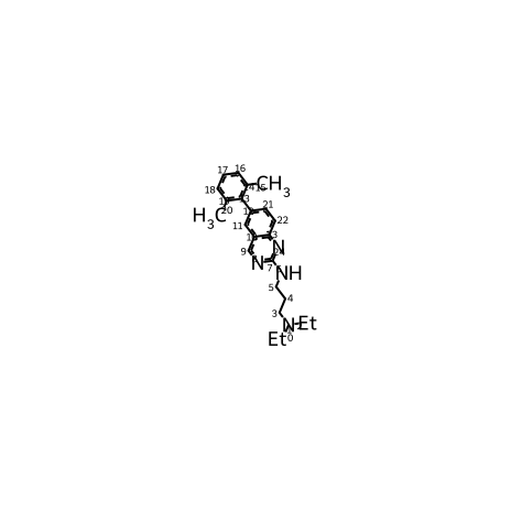 CCN(CC)CCCNc1ncc2cc(-c3c(C)cccc3C)ccc2n1